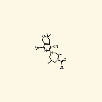 CC1CN(c2nc(C3CC3)c3c(c2C#N)CC(C)(C)OC3)CC(F)CN1C(=O)C1CC1